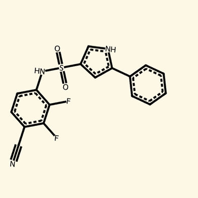 N#Cc1ccc(NS(=O)(=O)c2c[nH]c(-c3ccccc3)c2)c(F)c1F